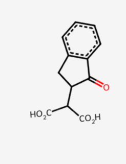 O=C1c2ccccc2CC1C(C(=O)O)C(=O)O